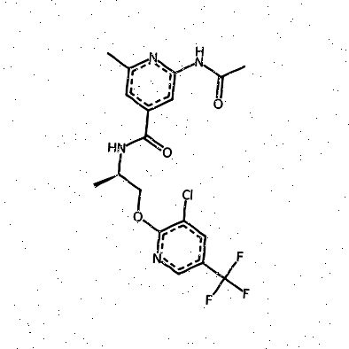 CC(=O)Nc1cc(C(=O)N[C@H](C)COc2ncc(C(F)(F)F)cc2Cl)cc(C)n1